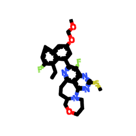 CCc1c(F)ccc2cc(OCOC)cc(-c3nc4c5c(nc(SC)nc5c3F)N3CCCOCC3CC4)c12